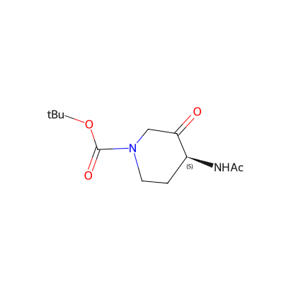 CC(=O)N[C@H]1CCN(C(=O)OC(C)(C)C)CC1=O